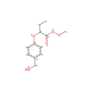 CCOC(=O)C(CC)Oc1ccc(CO)cc1